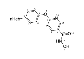 CCCCCCc1ccc(Oc2ccc(C(=O)NO)cn2)cc1